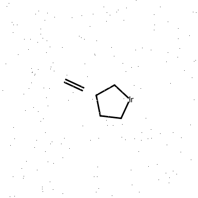 C1C[CH2][Ir][CH2]1.C=C